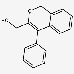 OCC1=C(c2ccccc2)c2ccccc2CO1